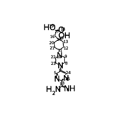 N=C(N)c1ncc(N2CCN([C@H]3CC[C@](O)(CC(=O)O)CC3)CC2)cn1